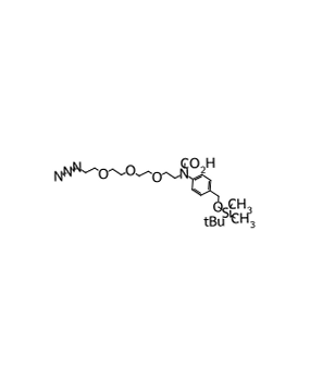 CC(C)(C)[Si](C)(C)OCc1ccc(N(CCOCCOCCOCCN=[N+]=[N-])C(=O)O)cc1